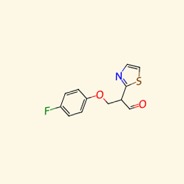 O=CC(COc1ccc(F)cc1)c1nccs1